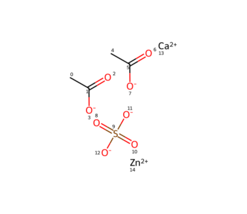 CC(=O)[O-].CC(=O)[O-].O=S(=O)([O-])[O-].[Ca+2].[Zn+2]